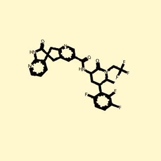 CC1C(c2c(F)ccc(F)c2F)CC(NC(=O)c2cnc3c(c2)CC2(C3)C(=O)Nc3ncccc32)C(=O)N1CC(F)(F)F